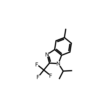 Cc1ccc2c(c1)nc(C(F)(F)F)n2C(C)C